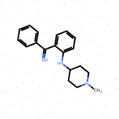 CN1CCC(Nc2ccccc2C(=N)c2ccccc2)CC1